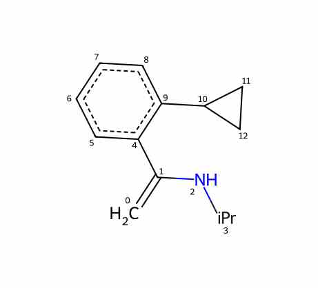 C=C(NC(C)C)c1ccccc1C1CC1